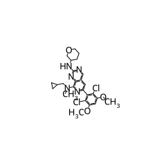 COc1cc(OC)c(Cl)c(-c2cc3cnc(NC4CCCOC4)nc3c(N(C)CC3CC3)n2)c1Cl